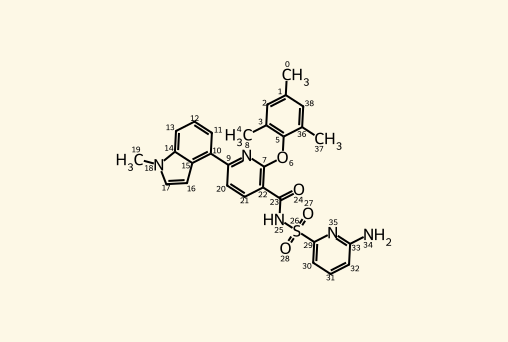 Cc1cc(C)c(Oc2nc(-c3cccc4c3ccn4C)ccc2C(=O)NS(=O)(=O)c2cccc(N)n2)c(C)c1